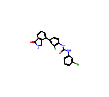 O=C(Nc1cccc(Br)c1)Nc1ccc(-c2cccc3c2CNC3=O)cc1F